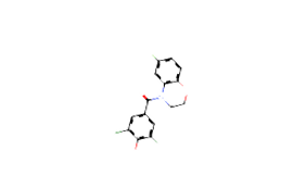 O=C(c1cc(Cl)c(O)c(Cl)c1)N1CCOc2ccc(F)cc21